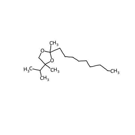 CCCCCCCCCC1(C)OCC(C)(C(C)C)O1